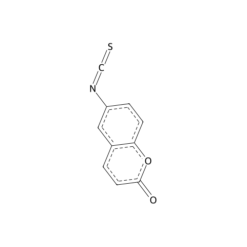 O=c1ccc2cc(N=C=S)ccc2o1